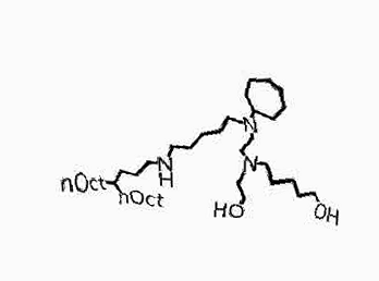 CCCCCCCCC(CCCCCCCC)CCCNCCCCCN(CCN(CCO)CCCCCO)C1CCCCCC1